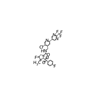 C[C@@H]1C(S(=O)(=O)c2ccc(F)cc2)[C@H](C(=O)NCc2cc(-c3cnc(C(F)(F)F)nc3)ncc2Cl)C[C@H]1F